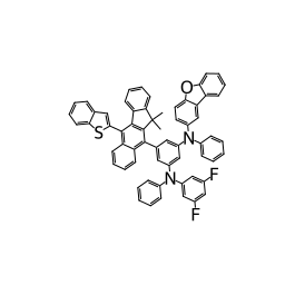 CC1(C)c2ccccc2-c2c1c(-c1cc(N(c3ccccc3)c3cc(F)cc(F)c3)cc(N(c3ccccc3)c3ccc4oc5ccccc5c4c3)c1)c1ccccc1c2-c1cc2ccccc2s1